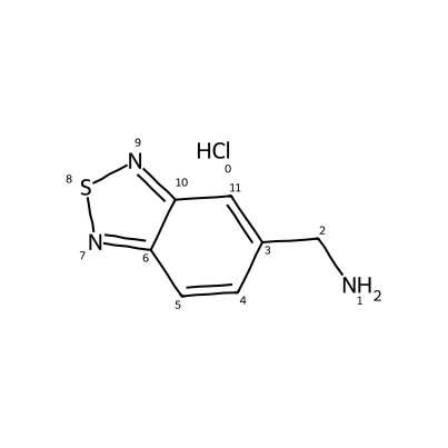 Cl.NCc1ccc2nsnc2c1